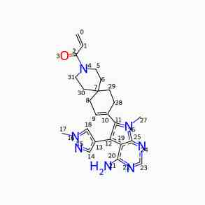 C=CC(=O)N1CCC2(CC=C(c3c(-c4cnn(C)c4)c4c(N)ncnc4n3C)CC2)CC1